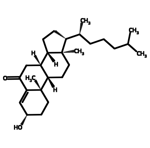 CC(C)CCC[C@@H](C)[C@H]1CC[C@H]2[C@@H]3CC(=O)C4=C[C@@H](O)CC[C@]4(C)[C@H]3CC[C@]12C